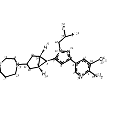 Nc1ncc(-c2cc([C@H]3[C@@H]4CC(N5CCCOCC5)C[C@@H]43)n(CC(F)F)n2)cc1C(F)(F)F